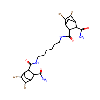 NC(=O)C1C2CC(C(Br)C2Br)C1C(=O)NCCCCCCNC(=O)C1C2CC(C(Br)C2Br)C1C(N)=O